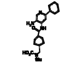 CC(C)(C)N(Cc1ccc(C(=O)Nc2cc(-c3ccccc3)ncc2N)cc1)C(=O)O